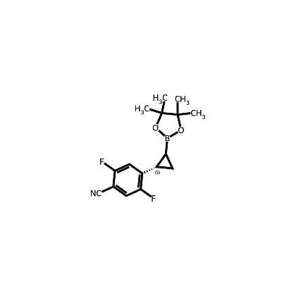 CC1(C)OB(C2C[C@@H]2c2cc(F)c(C#N)cc2F)OC1(C)C